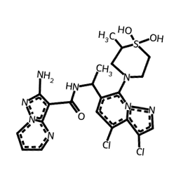 CC(NC(=O)c1c(N)nn2cccnc12)c1cc(Cl)c2c(Cl)cnn2c1N1CCS(O)(O)C(C)C1